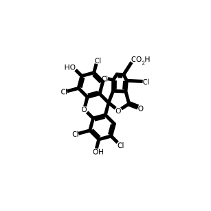 O=C(O)c1cc(Cl)c2c(c1Cl)C(=O)OC21c2cc(Cl)c(O)c(Cl)c2Oc2c1cc(Cl)c(O)c2Cl